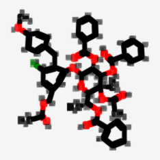 COc1ccc(Cc2c(F)cc(COC(C)=O)cc2O[C@@H]2O[C@H]([C@@H](C)OC(=O)c3ccccc3)[C@@](C)(OC(C)=O)[C@H](OC(=O)c3ccccc3)[C@H]2OC(=O)c2ccccc2)cc1